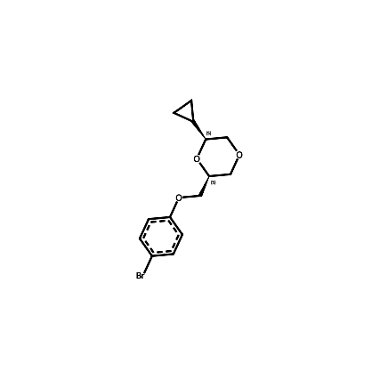 Brc1ccc(OC[C@@H]2COC[C@H](C3CC3)O2)cc1